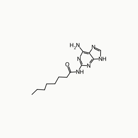 CCCCCCCC(=O)Nc1nc(N)c2nc[nH]c2n1